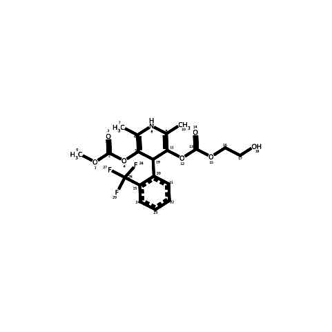 COC(=O)OC1=C(C)NC(C)=C(OC(=O)OCCO)C1c1ccccc1C(F)(F)F